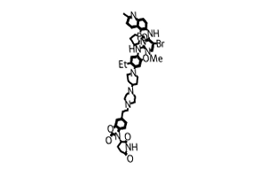 CCc1cc(Nc2ncc(Br)c(Nc3ccc4nc(C)ccc4c3P3(=O)CCCC3)n2)c(OC)cc1N1CCC(N2CCN(CCc3ccc4c(c3)oc(=O)n4C3CCC(=O)NC3=O)CC2)CC1